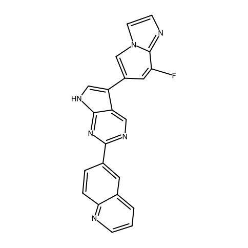 Fc1cc(-c2c[nH]c3nc(-c4ccc5ncccc5c4)ncc23)cn2ccnc12